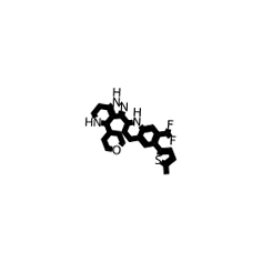 Cc1ccc(-c2cc3c(cc2C(F)F)NC(c2n[nH]c4c2C(C2CCOCC2)NCC4)CC3)s1